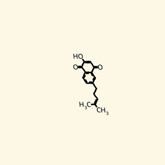 CC(C)=CCCc1ccc2c(c1)C(=O)C=C(O)C2=O